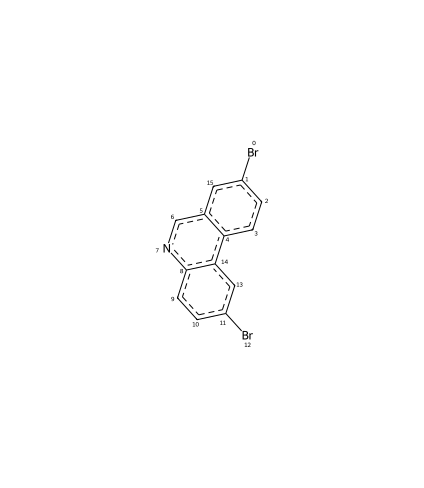 Brc1ccc2c(cnc3ccc(Br)cc32)c1